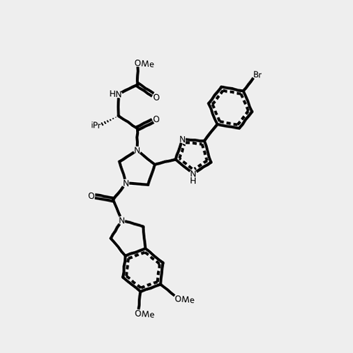 COC(=O)N[C@H](C(=O)N1CN(C(=O)N2Cc3cc(OC)c(OC)cc3C2)CC1c1nc(-c2ccc(Br)cc2)c[nH]1)C(C)C